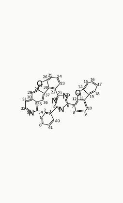 c1ccc(-c2nc(-c3cccc4c3oc3ccccc34)nc(-c3cccc4oc5cc6ccncc6cc5c34)n2)cc1